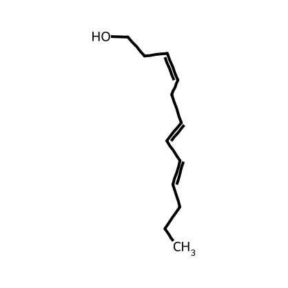 CCCC=C/C=C/C/C=C\CCO